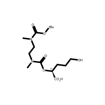 CN(CCN(C)C(=O)OC(C)(C)C)C(=O)O[C@@H](CCCO)C(=O)O